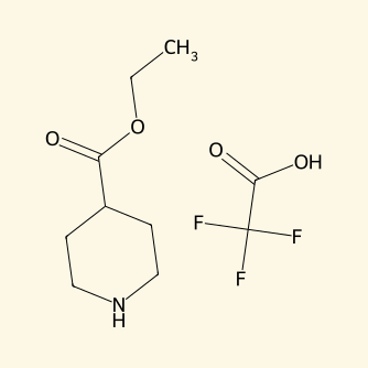 CCOC(=O)C1CCNCC1.O=C(O)C(F)(F)F